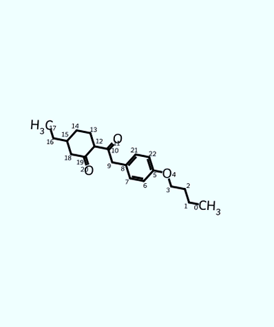 CCCCOc1ccc(CC(=O)C2CCC(CC)CC2=O)cc1